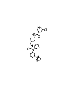 Cc1ncc(Cl)cc1C(=O)NC1CCC(Cn2c(=O)n(-c3cccc(-n4nccn4)c3)c3ccccc32)CC1